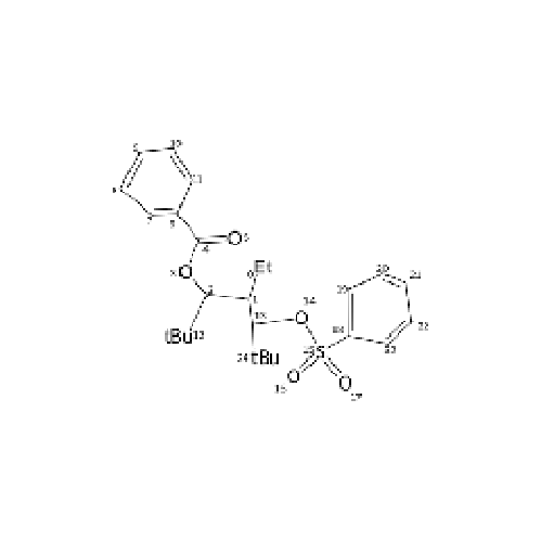 CCC(C(OC(=O)c1ccccc1)C(C)(C)C)C(OS(=O)(=O)c1ccccc1)C(C)(C)C